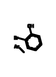 CC(C)=O.Oc1ccccc1Br